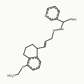 CCCCCC(NOCC=CC1CCCc2c(OCC(=O)O)cccc21)c1cccnc1